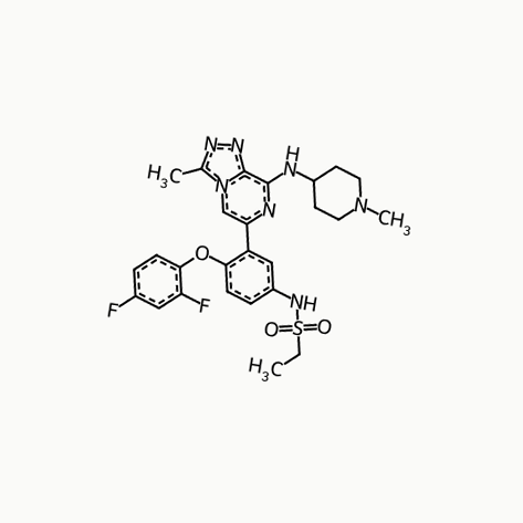 CCS(=O)(=O)Nc1ccc(Oc2ccc(F)cc2F)c(-c2cn3c(C)nnc3c(NC3CCN(C)CC3)n2)c1